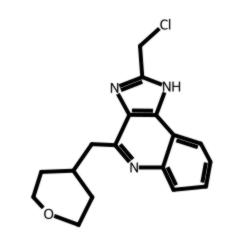 ClCc1nc2c(CC3CCOCC3)nc3ccccc3c2[nH]1